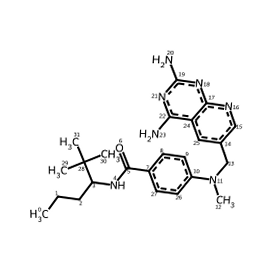 CCCC(NC(=O)c1ccc(N(C)Cc2cnc3nc(N)nc(N)c3c2)cc1)C(C)(C)C